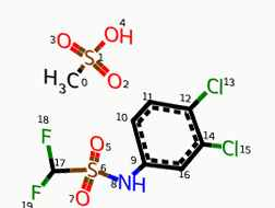 CS(=O)(=O)O.O=S(=O)(Nc1ccc(Cl)c(Cl)c1)C(F)F